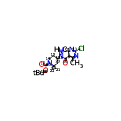 Cc1nc(Cl)nc(C)c1C(=O)NC1CCN(C(=O)OC(C)(C)C)C2(CC2)C1